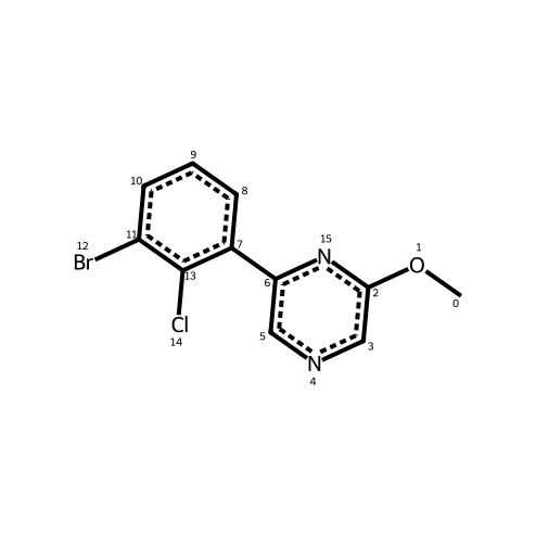 COc1cncc(-c2cccc(Br)c2Cl)n1